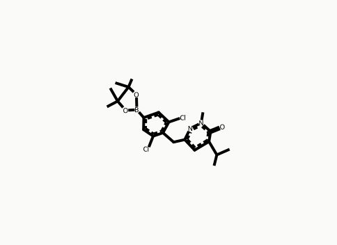 CC(C)c1cc(Cc2c(Cl)cc(B3OC(C)(C)C(C)(C)O3)cc2Cl)nn(C)c1=O